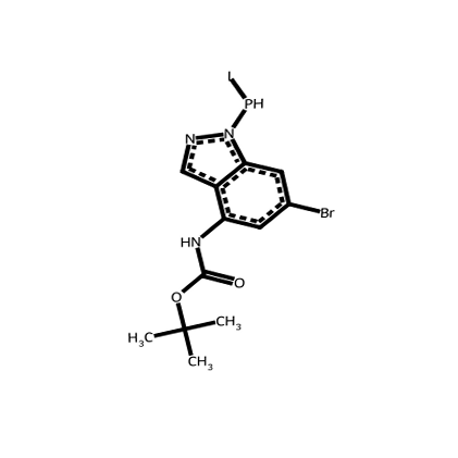 CC(C)(C)OC(=O)Nc1cc(Br)cc2c1cnn2PI